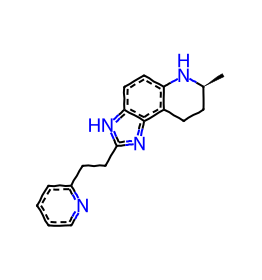 C[C@H]1CCc2c(ccc3[nH]c(CCc4ccccn4)nc23)N1